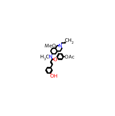 C=CCN1CC[C@@]2(c3cccc(OC(C)=O)c3)C[C@@H](N(C)C(=O)C=Cc3cccc(O)c3)CC[C@]2(OC)C1